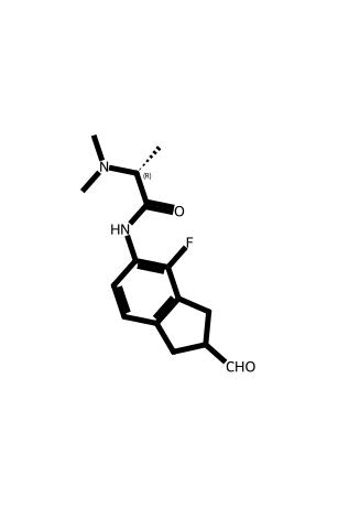 C[C@H](C(=O)Nc1ccc2c(c1F)CC(C=O)C2)N(C)C